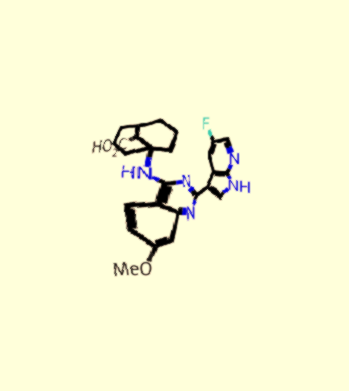 COc1ccc2c(NC34CCCC(CCC3)C4C(=O)O)nc(-c3c[nH]c4ncc(F)cc34)nc2c1